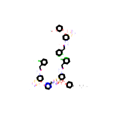 COc1ccc(Oc2ccc(NC(=O)Cc3ccccc3Cl)cc2S(N)(=O)=O)cc1.COc1cccc(Oc2ccc(NC(=O)Cc3ccccc3Cl)cc2S(N)(=O)=O)c1.NS(=O)(=O)c1cc(NC(=O)Cc2ccccc2Cl)ccc1Oc1cccc(OC(F)F)c1